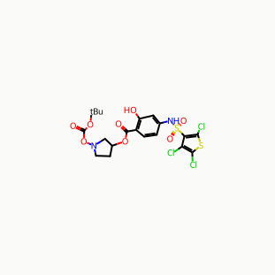 CC(C)(C)OC(=O)ON1CCC(OC(=O)c2ccc(NS(=O)(=O)c3c(Cl)sc(Cl)c3Cl)cc2O)C1